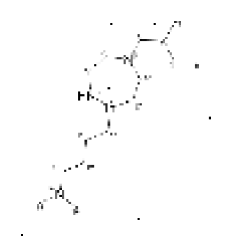 CCC(C)CN1CC[NH][In]([CH2]CCCN(C)C)[CH2]C1